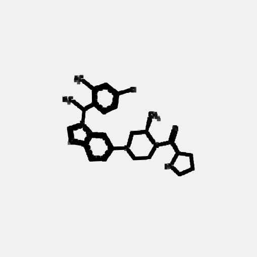 CC(c1ccc(Cl)cc1C(F)(F)F)n1cnc2ccc(N3CCN(C(=O)C4CCCN4)[C@H](C)C3)cc21